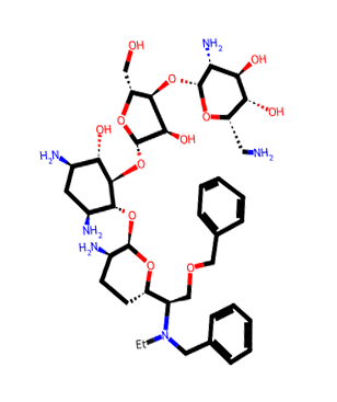 CCN(Cc1ccccc1)[C@H](COCc1ccccc1)[C@@H]1CC[C@@H](N)[C@@H](O[C@H]2[C@H](O[C@@H]3O[C@H](CO)[C@@H](O[C@H]4O[C@@H](CN)[C@@H](O)[C@H](O)[C@H]4N)[C@H]3O)[C@@H](O)[C@H](N)C[C@@H]2N)O1